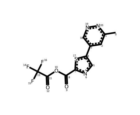 Cc1cc(-c2cnc(C(=O)OC(=O)C(F)(F)F)s2)cnn1